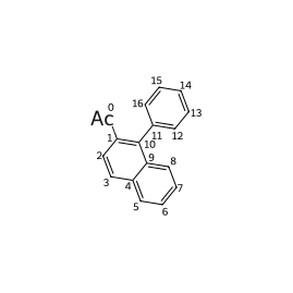 CC(=O)c1ccc2ccccc2c1-c1ccccc1